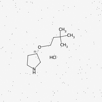 CC(C)(C)CCO[C@H]1CCNC1.Cl